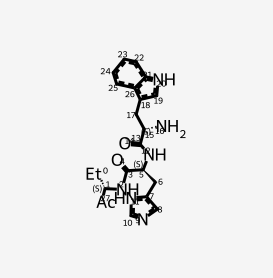 CC[C@H](NC(=O)[C@H](Cc1cnc[nH]1)NC(=O)[C@@H](N)Cc1c[nH]c2ccccc12)C(C)=O